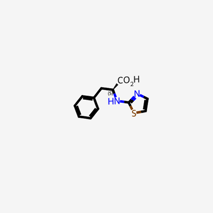 O=C(O)[C@H](Cc1ccccc1)Nc1nccs1